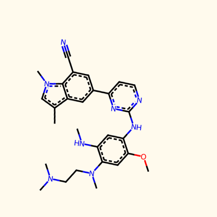 CNc1cc(Nc2nccc(-c3cc(C#N)c4c(c3)c(C)cn4C)n2)c(OC)cc1N(C)CCN(C)C